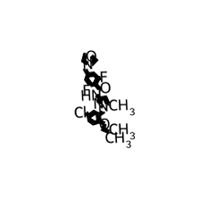 Cc1cc(NC(=O)c2c(F)cc(CN3CCOCC3)cc2F)nn1Cc1cc(Cl)ccc1OCC(C)C